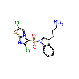 NCCCc1cn(S(=O)(=O)c2c(Cl)nc3sc(Cl)cn23)c2ccccc12